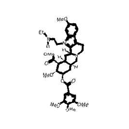 CCN(CC)CCn1c2c(c3ccc(OC)cc31)CCN1C[C@H]3C[C@@H](OC(=O)c4cc(OC)c(OC)c(OC)c4)[C@H](OC)[C@@H](C(=O)OC)[C@H]3C[C@H]21